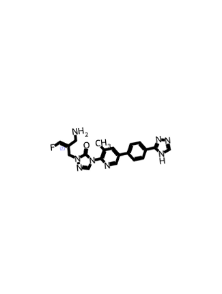 Cc1cc(-c2ccc(-c3nnc[nH]3)cc2)cnc1-n1cnn(C/C(=C\F)CN)c1=O